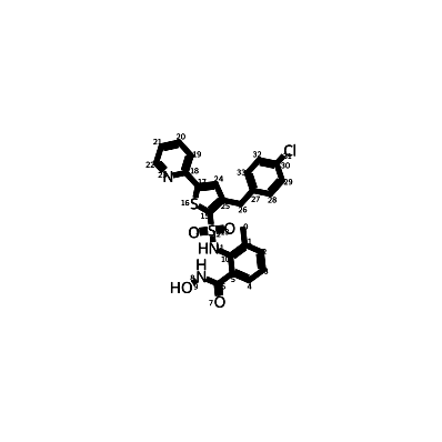 Cc1cccc(C(=O)NO)c1NS(=O)(=O)c1sc(-c2ccccn2)cc1Cc1ccc(Cl)cc1